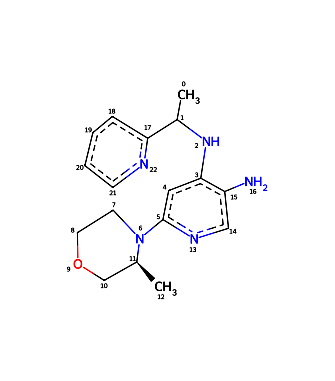 CC(Nc1cc(N2CCOC[C@@H]2C)ncc1N)c1ccccn1